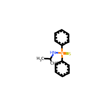 CC(C=O)NP(=S)(c1ccccc1)c1ccccc1